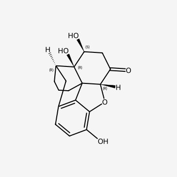 O=C1C[C@H](O)[C@@]2(O)[C@@H]3CCCC24c2c(ccc(O)c2O[C@@H]14)C3